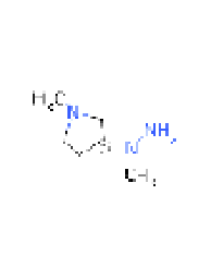 CN1CC[C@@H](N(C)N)C1